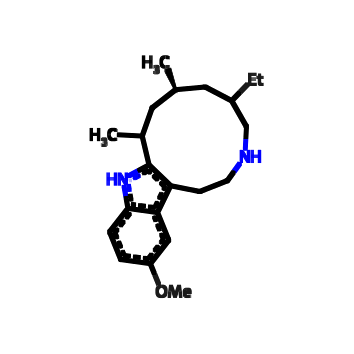 CCC1CNCCc2c([nH]c3ccc(OC)cc23)C(C)C[C@@H](C)C1